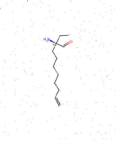 C=CCCCCCC[C@@](N)(C=O)CC